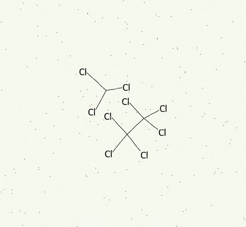 ClC(Cl)(Cl)C(Cl)(Cl)Cl.ClC(Cl)Cl